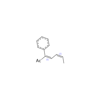 C/C=C\C=C(\C(C)=O)c1ccccc1